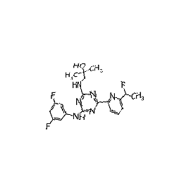 CC(F)c1cccc(-c2nc(NCC(C)(C)O)nc(Nc3cc(F)cc(F)c3)n2)n1